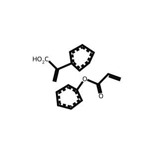 C=C(C(=O)O)c1ccccc1.C=CC(=O)Oc1ccccc1